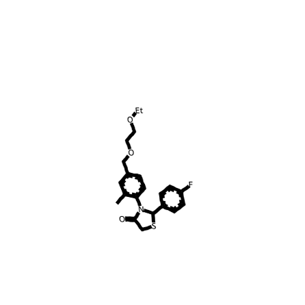 CCOCCOCc1ccc(N2C(=O)CSC2c2ccc(F)cc2)c(C)c1